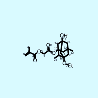 C=C(C)C(=O)OCC(=O)OC12CC3(C)CC(O)(CC(OCC)(C3)C1C)C2